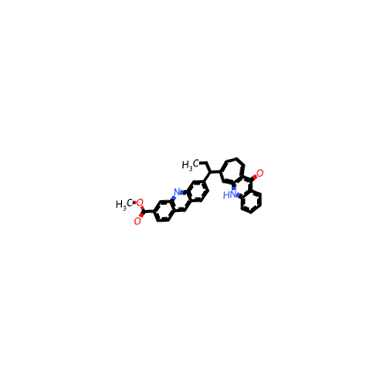 CCC(C1=CCC=c2c([nH]c3ccccc3c2=O)=C1)c1ccc2cc3ccc(C(=O)OC)cc3nc2c1